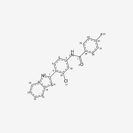 O=C(Nc1ccc(-c2nc3ccccc3s2)c(Cl)c1)c1ccc(F)cc1